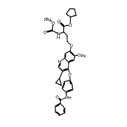 COc1cc2c(Oc3ccc(NC(=O)c4ccccc4)cc3)c(C3CC3)cnc2cc1OCCC(NC(=O)OC(C)(C)C)C(=O)OC1CCCC1